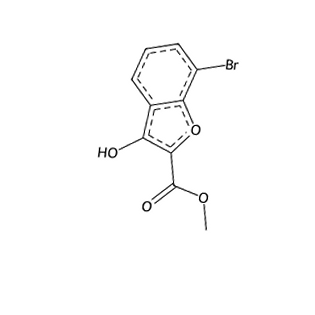 COC(=O)c1oc2c(Br)cccc2c1O